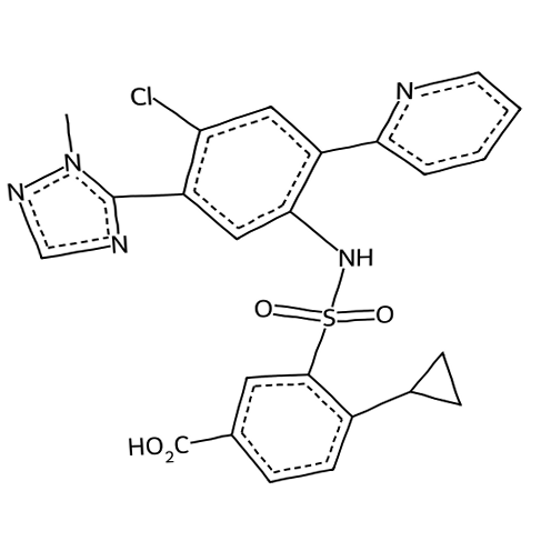 Cn1ncnc1-c1cc(NS(=O)(=O)c2cc(C(=O)O)ccc2C2CC2)c(-c2ccccn2)cc1Cl